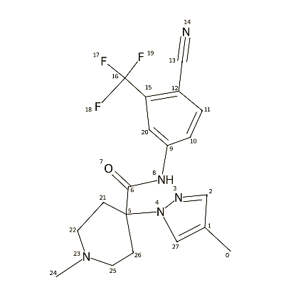 Cc1cnn(C2(C(=O)Nc3ccc(C#N)c(C(F)(F)F)c3)CCN(C)CC2)c1